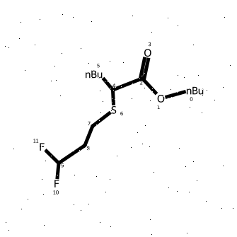 CCCCOC(=O)C(CCCC)SCCC(F)F